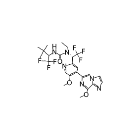 CCN(C(=O)NC(C(C)(C)C)C(F)(F)F)[C@@H](c1cc(-c2cn3ccnc3c(OC)n2)c(OC)cn1)C(F)(F)F